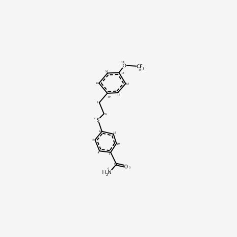 NC(=O)c1ccc(SCCc2ccc(OC(F)(F)F)cc2)cc1